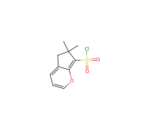 CC1(C)CC2=CC=COC2=C1S(=O)(=O)Cl